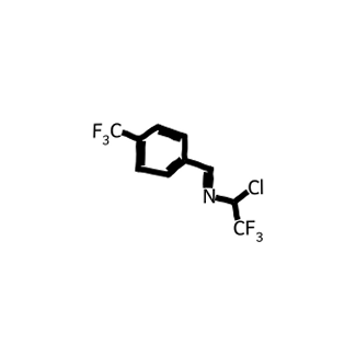 FC(F)(F)c1ccc(C=NC(Cl)C(F)(F)F)cc1